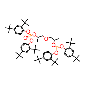 CC(COCC(C)OP(=O)(Oc1ccc(C(C)(C)C)cc1C(C)(C)C)Oc1ccc(C(C)(C)C)cc1C(C)(C)C)OP(Oc1ccc(C(C)(C)C)cc1C(C)(C)C)Oc1ccc(C(C)(C)C)cc1C(C)(C)C